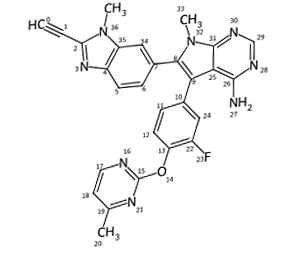 C#Cc1nc2ccc(-c3c(-c4ccc(Oc5nccc(C)n5)c(F)c4)c4c(N)ncnc4n3C)cc2n1C